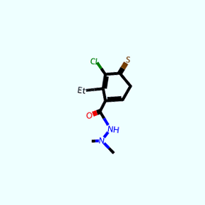 CCC1=C(Cl)C(=S)CC=C1C(=O)NN(C)C